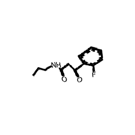 CCCNC(=O)CC(=O)c1ccccc1F